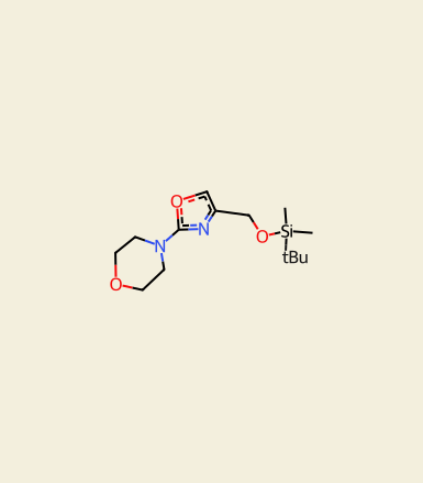 CC(C)(C)[Si](C)(C)OCc1coc(N2CCOCC2)n1